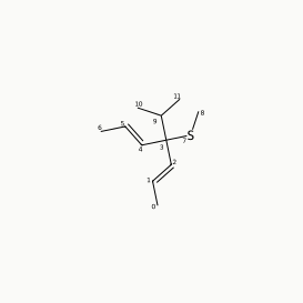 CC=CC(C=CC)(SC)C(C)C